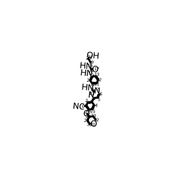 N#Cc1cc(-c2ccnc(Nc3cccc(NC(=O)NCCO)c3)n2)ccc1OC1CCOCC1